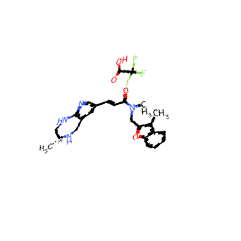 Cc1c(CN(C)C(=O)C=Cc2cnc3c(c2)CN[C@H](C)CN3)oc2ccccc12.O=C(O)C(F)(F)F